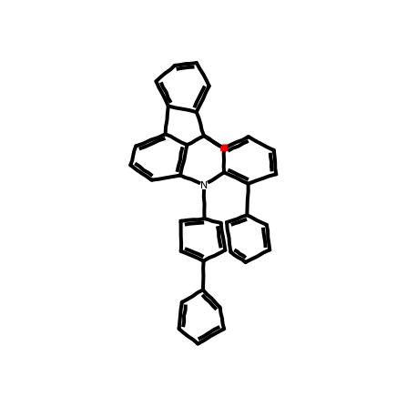 CC12c3ccccc3-c3cccc(c31)N(c1ccc(-c3ccccc3)cc1)c1c(-c3ccccc3)cccc12